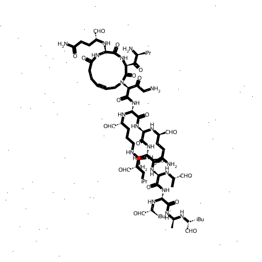 CC[C@@H](C)[C@H](C=O)N[C@@H](C)NC(=O)[C@@H](NC(=O)[C@@H](NC(=O)[C@@H](NC(=O)[C@@H](NC(=O)[C@@H](NC(=O)[C@H](C(=O)CN)N1CC=CCCC(=O)N[C@@H](N[C@@H](C=O)CCC(N)=O)C(=O)N[C@@H](C(=O)[C@@H](N)C(C)C)C1=O)N[C@@H](C=O)CCCNC(=N)N)N[C@@H](C=O)CCC(N)=O)N[C@@H](C=O)CC(C)C)N[C@@H](C)C=O)N[C@@H](C=O)[C@H](C)CC